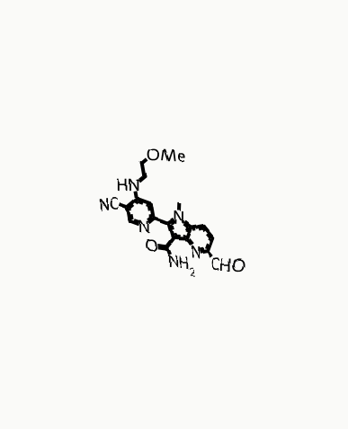 COCCNc1cc(-c2c(C(N)=O)c3nc(C=O)ccc3n2C)ncc1C#N